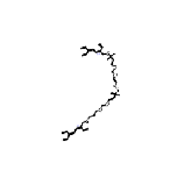 C=CC(C=C)=C/C=C(\C=C)CSCCCOCOCCC(C)(C)SSCCOCOCCC(C)(C)SC/C(C=C)=C/C=C(C=C)C=C